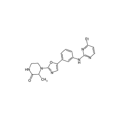 CCc1ccnc(Nc2cccc(-c3cnc(N4CCNC(=O)C4C)o3)c2)n1